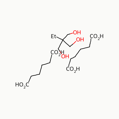 CCC(CO)(CO)CO.O=C(O)CCCCC(=O)O.O=C(O)CCCCC(=O)O